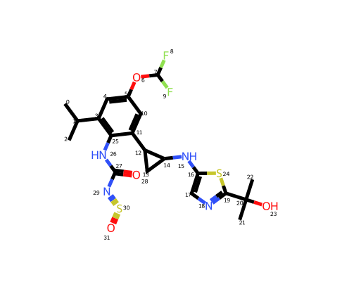 CC(C)c1cc(OC(F)F)cc(C2CC2Nc2cnc(C(C)(C)O)s2)c1NC(=O)N=S=O